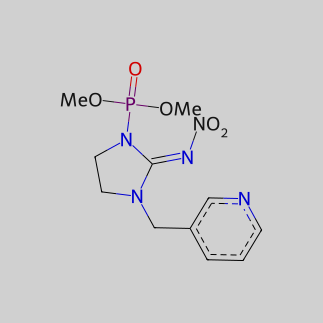 COP(=O)(OC)N1CCN(Cc2cccnc2)C1=N[N+](=O)[O-]